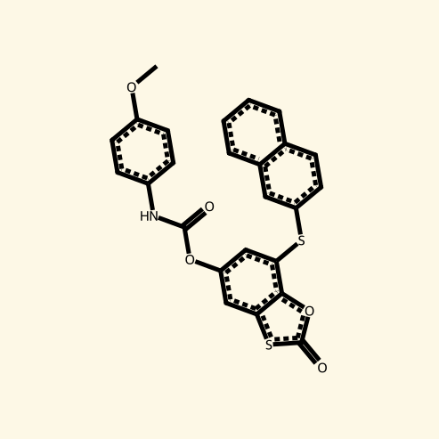 COc1ccc(NC(=O)Oc2cc(Sc3ccc4ccccc4c3)c3oc(=O)sc3c2)cc1